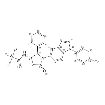 CC(F)(F)C(=O)N[C@H]1CC(=O)N(c2ccc3c(cnn3-c3ccc(F)cc3)n2)[C@@H]1c1ccccc1